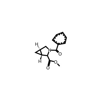 COC(=O)C1[C@@H]2C[C@H]2CN1C(=O)c1ccccc1